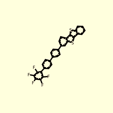 Fc1c(F)c(F)c(-c2ccc(-c3ccc(-c4ccc5c(c4)sc4c6ccccc6sc54)cc3)cc2)c(F)c1F